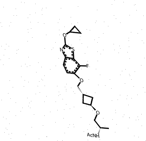 CC(=O)N[C@@H](C)CO[C@H]1C[C@H](COc2ccc3nc(OC4CC4)sc3c2F)C1